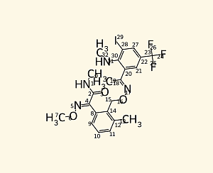 CNC(=O)/C(=N/OC)c1cccc(C)c1CO/N=C(\C)c1cc(C(F)(F)F)cc(I)c1NC